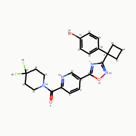 O=C(c1ccc(-c2nc(C3(c4ccc(Br)cc4)CCC3)no2)cn1)N1CCC(F)(F)CC1